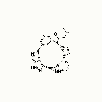 CC(C)CC(=O)n1c2cncc(c2)c2ncc3[nH]nc(c4nc5c(ccnc5c5ccc1s5)[nH]4)c3c2F